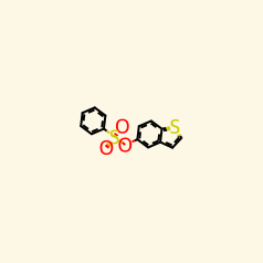 O=S(=O)(Oc1ccc2sccc2c1)c1ccccc1